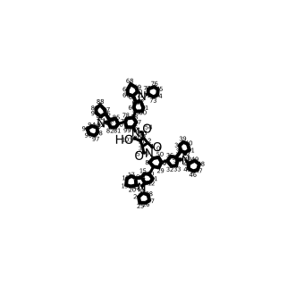 O=C1C2C(C(=O)N1c1cc(-c3ccc4c(c3)c3ccccc3n4-c3ccccc3)cc(-c3ccc4c(c3)c3ccccc3n4-c3ccccc3)c1)C1C2C(=O)N(c2cc(-c3ccc4c(c3)c3ccccc3n4-c3ccccc3)cc(-c3ccc4c(c3)c3ccccc3n4-c3ccccc3)c2)C1O